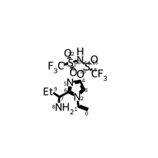 C=Cn1ccnc1C(N)CC.O=S(=O)(NS(=O)(=O)C(F)(F)F)C(F)(F)F